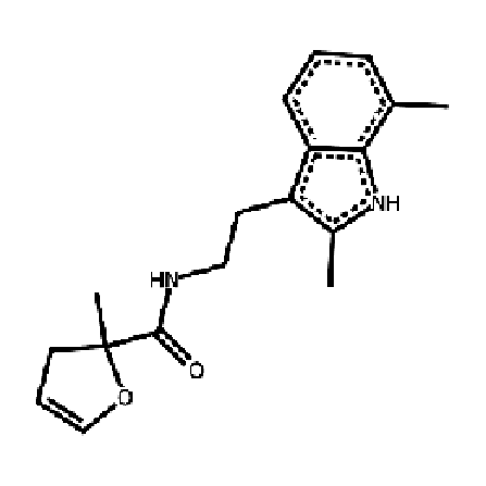 Cc1[nH]c2c(C)cccc2c1CCNC(=O)C1(C)CC=CO1